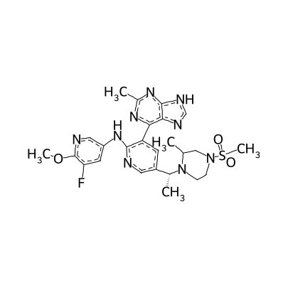 COc1ncc(Nc2ncc([C@@H](C)N3CCN(S(C)(=O)=O)CC3C)cc2-c2nc(C)nc3[nH]cnc23)cc1F